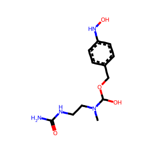 CN(CCNC(N)=O)C(O)OCc1ccc(NO)cc1